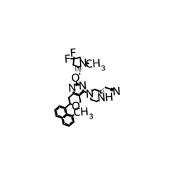 Cc1cccc2cccc(C3Cc4nc(OC[C@@H]5CC(F)(F)CN5C)nc(N5CCN[C@@H](CC#N)C5)c4CO3)c12